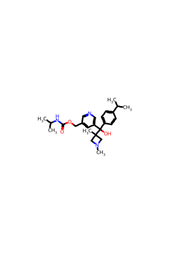 CC(C)NC(=O)OCc1cncc(C(O)(c2ccc(C(C)C)cc2)C2(C)CN(C)C2)c1